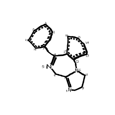 c1ccc(C2=NCC3=NCCN3c3ccccc32)cc1